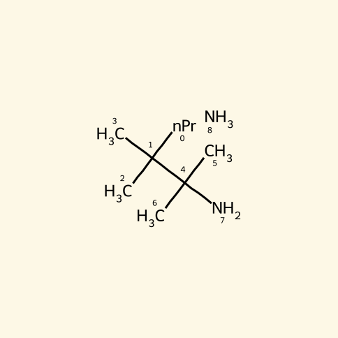 CCCC(C)(C)C(C)(C)N.N